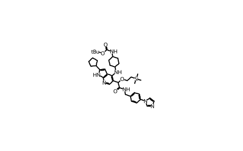 CC(C)(C)OC(=O)NC1CCC(Nc2c(C(OCC[Si](C)(C)C)C(=O)NCc3ccc(-n4ccnc4)cc3)cnc3[nH]c(C4CCCC4)cc23)CC1